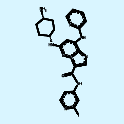 N[C@H]1CC[C@H](Nc2cc(Nc3ccccn3)c3ncc(C(=O)Nc4ccnc(I)c4)n3n2)CC1